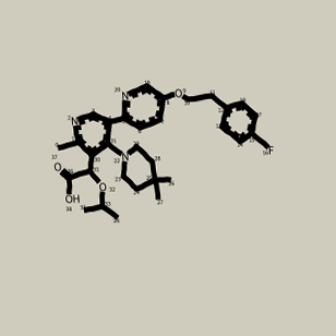 Cc1ncc(-c2ccc(OCCc3ccc(F)cc3)cn2)c(N2CCC(C)(C)CC2)c1C(OC(C)C)C(=O)O